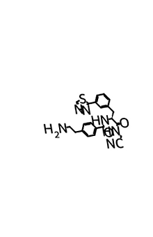 N#CCNC(=O)[C@H](Cc1cccc(-c2nncs2)c1)NC(=O)c1ccc(CCN)cc1